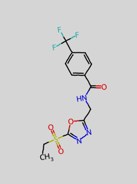 CCS(=O)(=O)c1nnc(CNC(=O)c2ccc(C(F)(F)F)cc2)o1